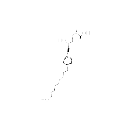 CC(CCC(O)C#Cc1ccc(CCCCCCCCCO)cc1)C(=O)O